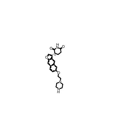 O=C1CC[C@H](c2coc3cc4ccc(OCCN5CCNCC5)cc4cc23)C(=O)N1